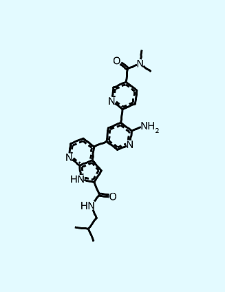 CC(C)CNC(=O)c1cc2c(-c3cnc(N)c(-c4ccc(C(=O)N(C)C)cn4)c3)ccnc2[nH]1